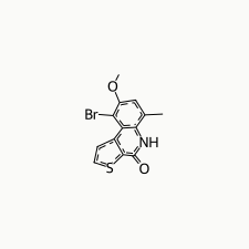 COc1cc(C)c2[nH]c(=O)c3sccc3c2c1Br